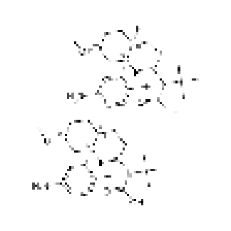 CO[C@@H]1CC[C@H]2CSC(N(C(=O)O)C(C)(C)C)=N[C@@]2(c2cc(N)ccc2F)C1.CO[C@@H]1CC[C@H]2CSC(N(C(=O)O)C(C)(C)C)=N[C@@]2(c2cc(N)ccc2F)C1